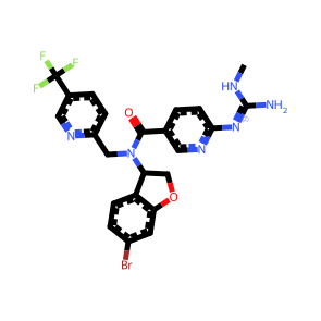 CN/C(N)=N\c1ccc(C(=O)N(Cc2ccc(C(F)(F)F)cn2)C2COc3cc(Br)ccc32)cn1